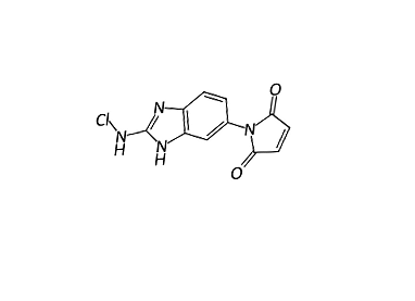 O=C1C=CC(=O)N1c1ccc2nc(NCl)[nH]c2c1